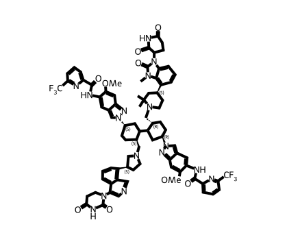 COc1cc2nn([C@@H]3CC[C@@H](CN4CC[C@H](c5cccc6c5n(C)c(=O)n6C5CCC(=O)NC5=O)CC4(C)C)C(C4C[C@@H](n5cc6cc(NC(=O)c7cccc(C(F)(F)F)n7)c(OC)cc6n5)CC[C@@H]4CN4CC[C@@H](c5cccc6c(N7CCC(=O)NC7=O)cncc56)C4)C3)cc2cc1NC(=O)c1cccc(C(F)(F)F)n1